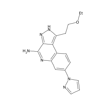 CCOCCc1[nH]nc2c(N)nc3cc(-n4cccn4)ccc3c12